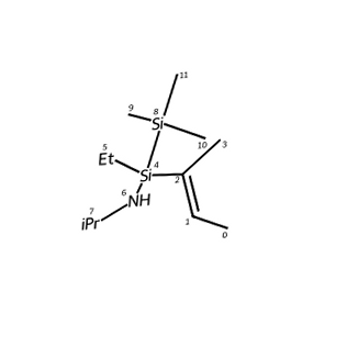 C/C=C(\C)[Si](CC)(NC(C)C)[Si](C)(C)C